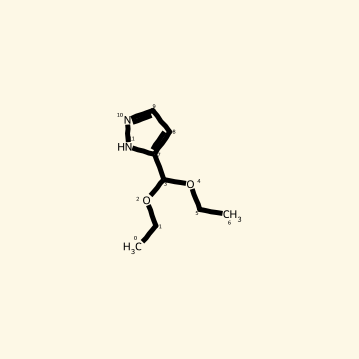 CCOC(OCC)c1ccn[nH]1